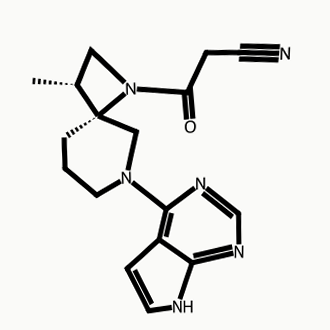 C[C@@H]1CN(C(=O)CC#N)[C@]12CCCN(c1ncnc3[nH]ccc13)C2